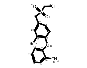 CCS(=O)(=O)Cc1ccc(Oc2ccccc2C)c(Br)c1